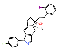 CC12CC3=C(C=C1CC[C@@]2(O)CCc1ccccc1I)C(c1ccc(F)cc1)N=C3